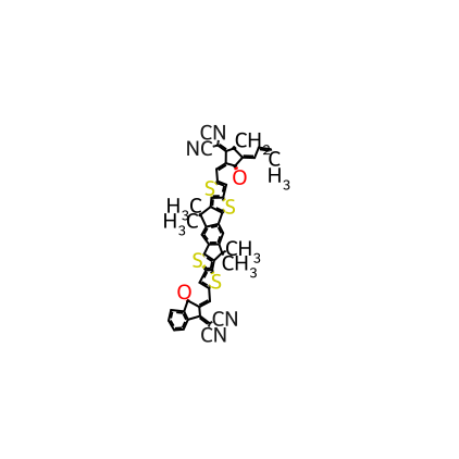 C=C1C(=C(C#N)C#N)/C(=C/c2cc3sc4c(c3s2)C(C)(C)c2cc3c(cc2-4)C(C)(C)c2c-3sc3cc(/C=C4\C(=O)c5ccccc5C4=C(C#N)C#N)sc23)C(=O)/C1=C/C=C\C